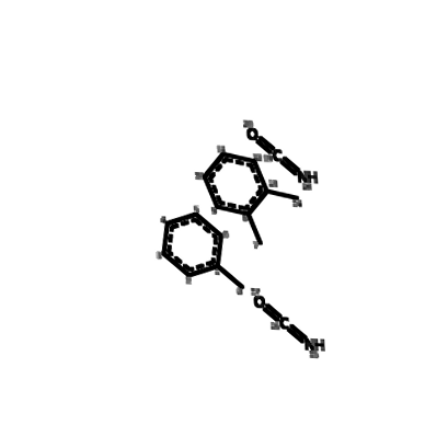 Cc1ccccc1.Cc1ccccc1C.N=C=O.N=C=O